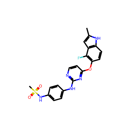 Cc1cc2c(F)c(Oc3ccnc(Nc4ccc(NS(C)(=O)=O)cc4)n3)ccc2[nH]1